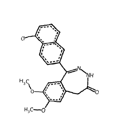 COc1cc2c(cc1OC)C(c1ccc3c(Cl)cccc3c1)=NNC(=O)C2